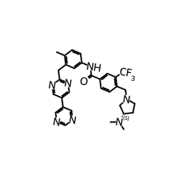 Cc1ccc(NC(=O)c2ccc(CN3CC[C@H](N(C)C)C3)c(C(F)(F)F)c2)cc1Cc1ncc(-c2cncnc2)cn1